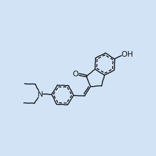 CCN(CC)c1ccc(C=C2Cc3cc(O)ccc3C2=O)cc1